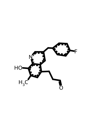 Cc1cc(CCC=O)c2cc(Cc3ccc(F)cc3)cnc2c1O